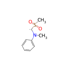 CN([CH]S(C)(=O)=O)c1ccccc1